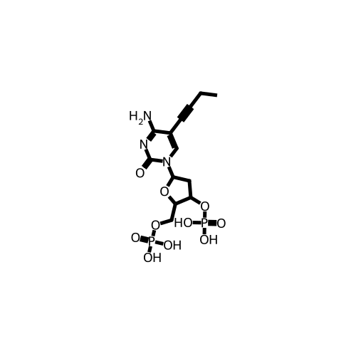 CCC#Cc1cn(C2CC(OP(=O)(O)O)C(COP(=O)(O)O)O2)c(=O)nc1N